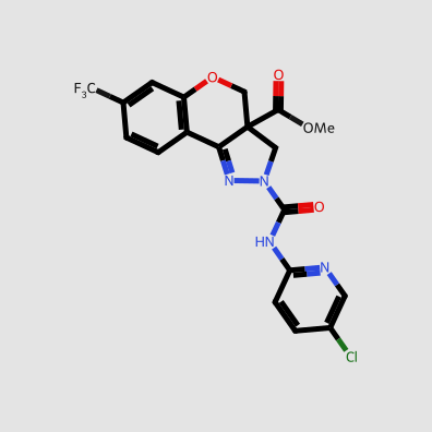 COC(=O)C12COc3cc(C(F)(F)F)ccc3C1=NN(C(=O)Nc1ccc(Cl)cn1)C2